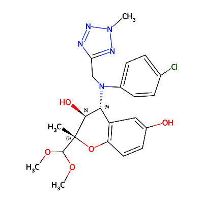 COC(OC)[C@@]1(C)Oc2ccc(O)cc2[C@@H](N(Cc2nnn(C)n2)c2ccc(Cl)cc2)[C@@H]1O